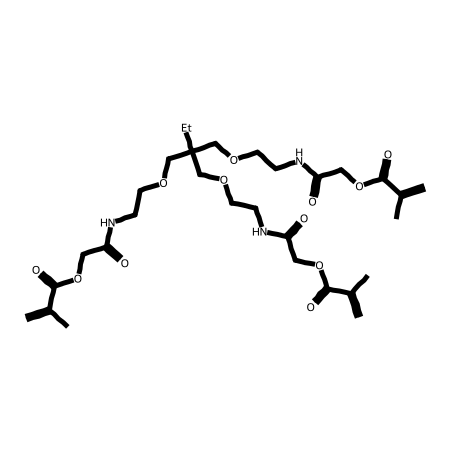 C=C(C)C(=O)OCC(=O)NCCOCC(CC)(COCCNC(=O)COC(=O)C(=C)C)COCCNC(=O)COC(=O)C(=C)C